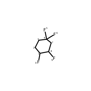 FC1CCC(F)(F)CC1F